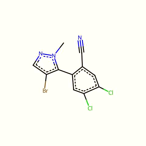 Cn1ncc(Br)c1-c1cc(Cl)c(Cl)cc1C#N